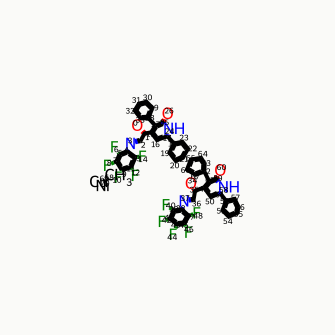 O=C(C=Nc1c(F)c(F)c(F)c(F)c1F)c1cc(-c2ccccc2)[nH]c(=O)c1-c1ccccc1.O=C(C=Nc1c(F)c(F)c(F)c(F)c1F)c1cc(-c2ccccc2)[nH]c(=O)c1-c1ccccc1.[CH3][Cu].[Ni]